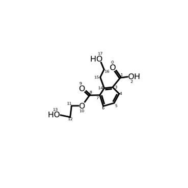 O=C(O)c1cccc(C(=O)OCCO)c1CCO